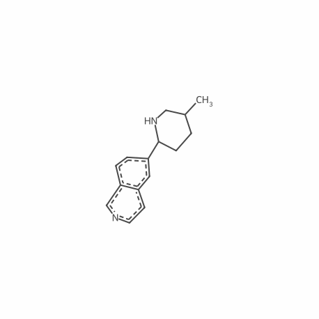 CC1CCC(c2ccc3cnccc3c2)NC1